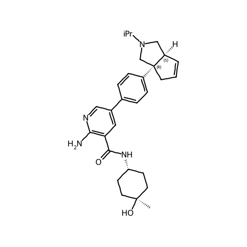 CC(C)N1C[C@H]2C=CC[C@@]2(c2ccc(-c3cnc(N)c(C(=O)N[C@H]4CC[C@](C)(O)CC4)c3)cc2)C1